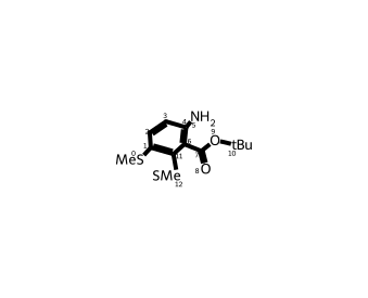 CSc1ccc(N)c(C(=O)OC(C)(C)C)c1SC